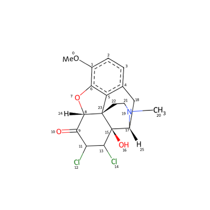 COc1ccc2c3c1O[C@H]1C(=O)C(Cl)C(Cl)[C@@]4(O)[C@@H](C2)N(C)CC[C@]314